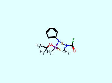 CC(C)OP(C)(=S)N(SN(C)C(=O)F)c1ccccc1